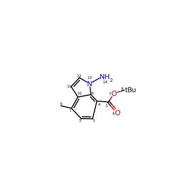 Cc1ccc(C(=O)OC(C)(C)C)c2c1ccn2N